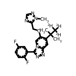 [2H]C([2H])([2H])C(C)(C)c1cc2nnc(-c3cc(F)ccc3F)n2cc1OCc1ncnn1C